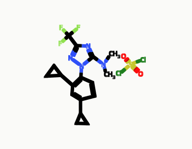 CN(C)c1nc(C(F)(F)F)nn1-c1ccc(C2CC2)cc1C1CC1.O=S(=O)(Cl)Cl